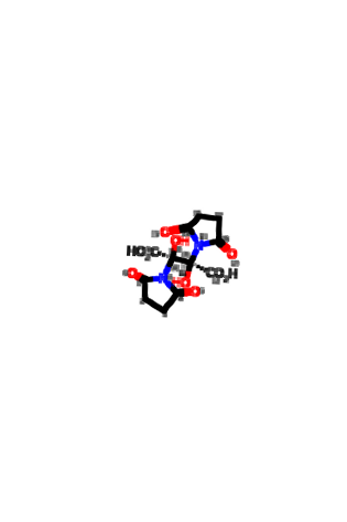 O=C1CCC(=O)N1[C@](O)(C(=O)O)[C@@](O)(C(=O)O)N1C(=O)CCC1=O